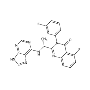 C[C@@H](Nc1ncnc2[nH]cnc12)c1nc2cccc(F)c2c(=O)n1-c1cccc(F)c1